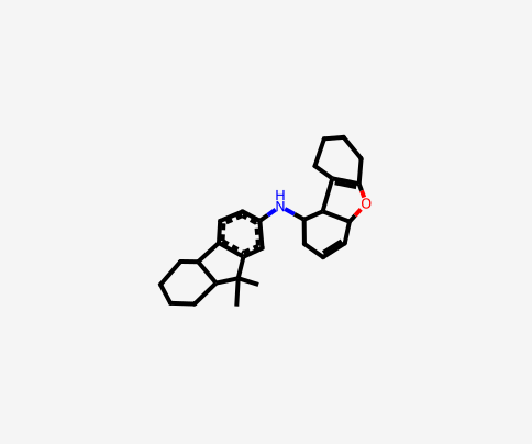 CC1(C)c2cc(NC3CC=CC4OC5=C(CCCC5)C34)ccc2C2CCCCC21